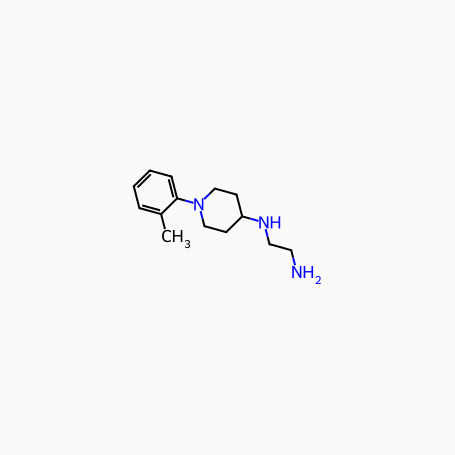 Cc1ccccc1N1CCC(NCCN)CC1